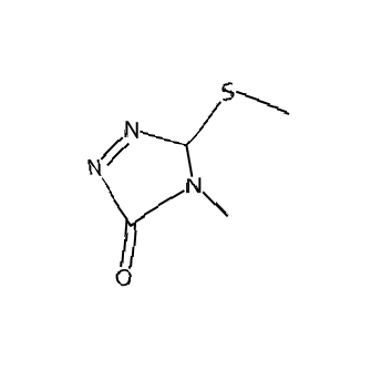 CSC1N=NC(=O)N1C